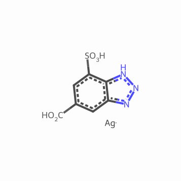 O=C(O)c1cc(S(=O)(=O)O)c2[nH]nnc2c1.[Ag]